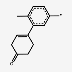 Cc1ccc(F)cc1C1=CCC(=O)CC1